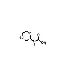 CN(C(=O)O)C1CNCCO1